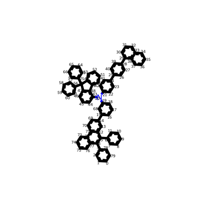 c1ccc(-c2c(-c3ccccc3)c3cc(-c4cccc(N(c5ccc(-c6ccc(-c7cccc8ccccc78)cc6)cc5)c5cccc6c5-c5ccccc5C6(c5ccccc5)c5ccccc5)c4)ccc3c3ccccc23)cc1